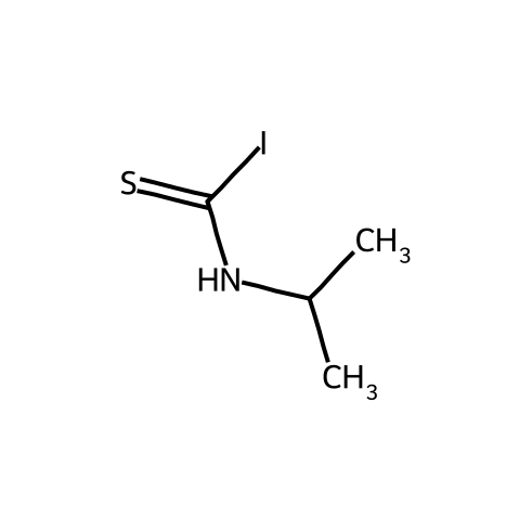 CC(C)NC(=S)I